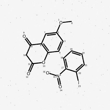 COc1ccc2c(c1)C(=O)CC(=O)O2.O=[N+]([O-])c1ccccc1I